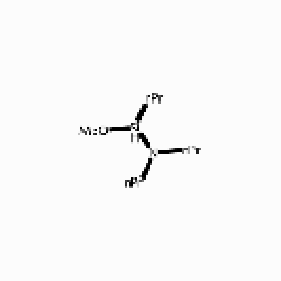 CCCN(CCC)[SiH](CCC)OC